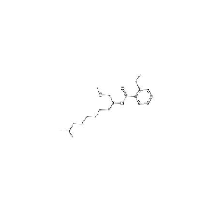 CCc1ccccc1C(=O)OC(CCCCCCC(C)C)COC